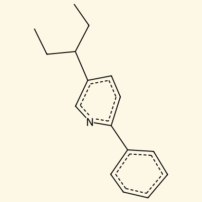 CCC(CC)c1ccc(-c2ccccc2)nc1